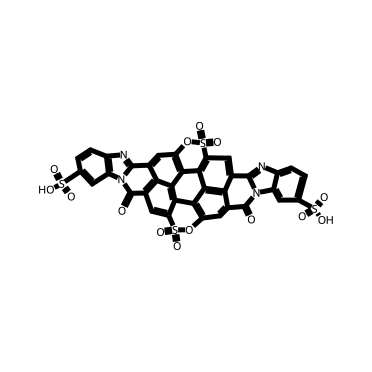 O=c1c2cc3c4c5c(cc6c(=O)n7c8cc(S(=O)(=O)O)ccc8nc7c7cc8c(c9c(cc(c2c94)c2nc4ccc(S(=O)(=O)O)cc4n12)OS8(=O)=O)c5c67)OS3(=O)=O